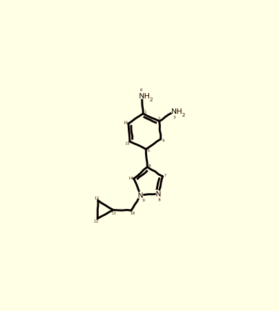 NC1=C(N)CC(c2cnn(CC3CC3)c2)C=C1